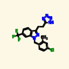 Cc1cc(Cl)ccc1Cn1nc(CCc2nnn[nH]2)c2ccc(C(F)(F)F)cc21